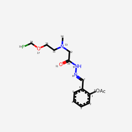 CC(=O)Oc1ccccc1/C=N/NC(=O)CN(C)CCOCF